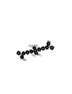 Cc1cc2c(-c3ccc(-c4ccc(-c5ccc6c(c5)c5cc(C(C)(C)C)ccc5n6-c5ccccc5)cc4)cc3)c3cc(C)c(C)cc3c(-c3ccc(-c4ccc(-c5ccc6c(c5)c5cc(C(C)(C)C)ccc5n6-c5ccccc5)cc4)cc3)c2cc1C